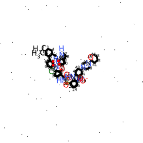 CC1(C)CCC(CN2CCN(c3cccc(C(=O)NS(=O)(=O)c4cccc([N+](=O)[O-])c4N[C@H]4CC[C@H](N5CCN(C6CCCCO6)CC5)CC4)c3Oc3cnc4[nH]ccc4c3)CC2)=C(c2ccc(Cl)cc2)C1